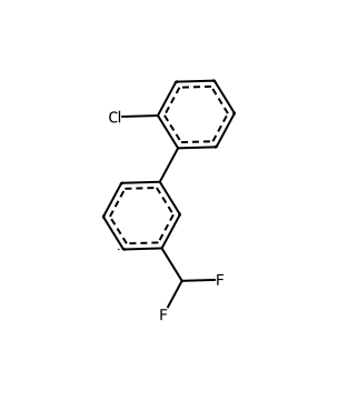 FC(F)c1[c]ccc(-c2ccccc2Cl)c1